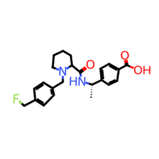 C[C@H](NC(=O)C1CCCCN1Cc1ccc(CF)cc1)c1ccc(C(=O)O)cc1